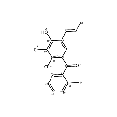 CC=Cc1cc(C(=O)c2ccccc2F)c(Cl)c(Cl)c1O